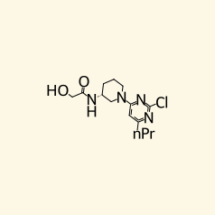 CCCc1cc(N2CCC[C@@H](NC(=O)CO)C2)nc(Cl)n1